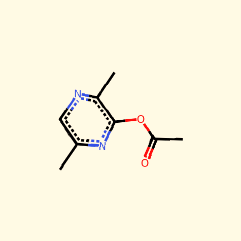 CC(=O)Oc1nc(C)cnc1C